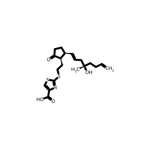 C=CCC[C@](C)(O)C/C=C/[C@@H]1CCC(=O)[C@@H]1CCSc1nc(C(=O)O)cs1